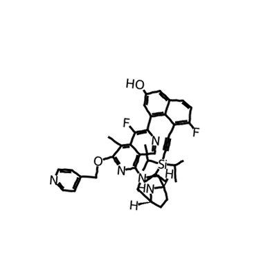 Cc1c(OCc2ccncc2)nc(N2C[C@H]3CC[C@@H](C2)N3)c2cnc(-c3cc(O)cc4ccc(F)c(C#C[Si](C(C)C)(C(C)C)C(C)C)c34)c(F)c12